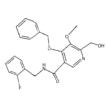 COc1c(CO)ncc(C(=O)NCc2ccccc2F)c1OCc1ccccc1